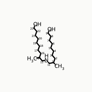 CC(CCCCCCCCO)CNCC(C)CCCCCCCCO